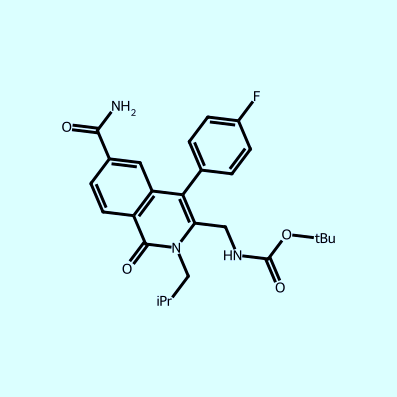 CC(C)Cn1c(CNC(=O)OC(C)(C)C)c(-c2ccc(F)cc2)c2cc(C(N)=O)ccc2c1=O